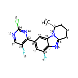 C[C@@H]1CCCc2nc3c(F)cc(-c4nc(Cl)ncc4F)cc3n21